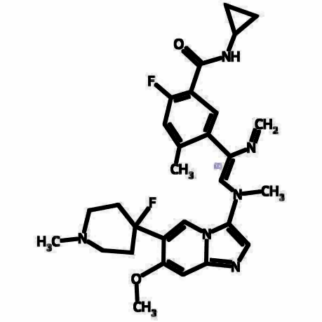 C=N/C(=C\N(C)c1cnc2cc(OC)c(C3(F)CCN(C)CC3)cn12)c1cc(C(=O)NC2CC2)c(F)cc1C